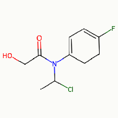 CC(Cl)N(C(=O)CO)C1=CC=C(F)CC1